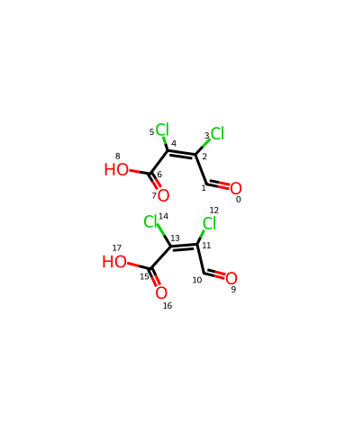 O=C/C(Cl)=C(/Cl)C(=O)O.O=C/C(Cl)=C(/Cl)C(=O)O